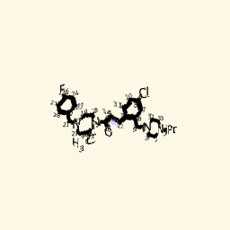 CC(C)N1CCN(Cc2cc(Cl)ccc2/C=C/C(=O)N2CCN(Cc3ccc(F)cc3)C[C@H]2C)CC1